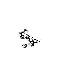 C=Nc1cncc(C2CC2)c1/C(=N\Cc1ccnc(Nc2nc(P)cc(F)c2F)c1)NC1CCNC1